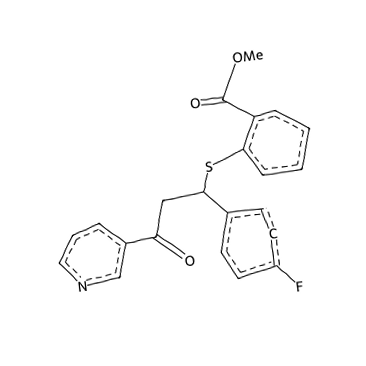 COC(=O)c1ccccc1SC(CC(=O)c1cccnc1)c1ccc(F)cc1